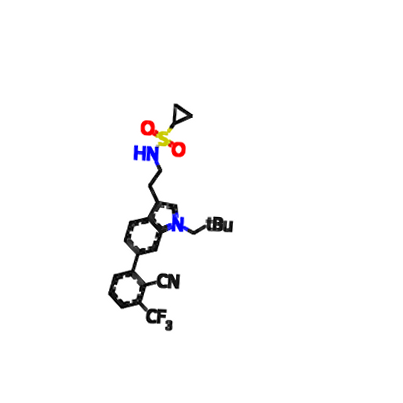 CC(C)(C)Cn1cc(CCNS(=O)(=O)C2CC2)c2ccc(-c3cccc(C(F)(F)F)c3C#N)cc21